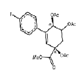 COC(=O)[C@]1(OC(C)=O)C=C(c2ccc(F)cc2)[C@@H](OC(C)=O)C(OC(C)=O)C1